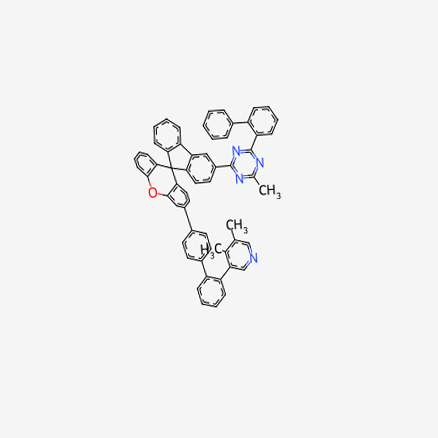 Cc1nc(-c2ccc3c(c2)-c2ccccc2C32c3ccccc3Oc3cc(-c4ccc(-c5ccccc5-c5cncc(C)c5C)cc4)ccc32)nc(-c2ccccc2-c2ccccc2)n1